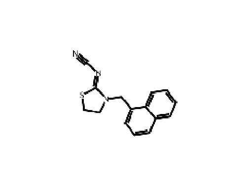 N#CN=C1SCCN1Cc1cccc2ccccc12